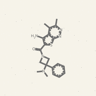 Cc1nnc2sc(C(=O)N3CC(c4ccccc4)(N(C)C)C3)c(N)c2c1C